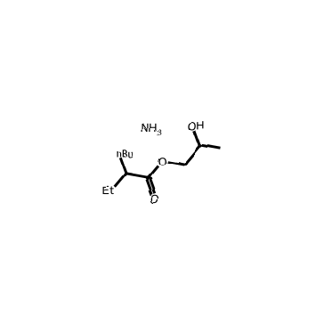 CCCCC(CC)C(=O)OCC(C)O.N